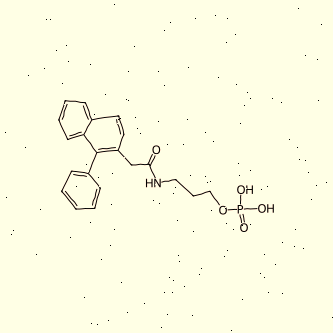 O=C(Cc1ccc2ccccc2c1-c1ccccc1)NCCCOP(=O)(O)O